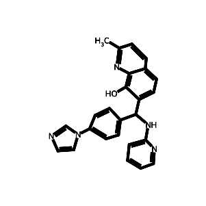 Cc1ccc2ccc(C(Nc3ccccn3)c3ccc(-n4ccnc4)cc3)c(O)c2n1